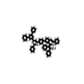 N=C(/C(=C1\NC(c2ccccc2)=Cc2ccc(-c3ccc(-c4cc(-c5cc(-c6ccccc6)cc(-c6ccccc6)c5)nc(-c5ccccc5)n4)cc3)cc21)c1ccccc1)c1ccccc1